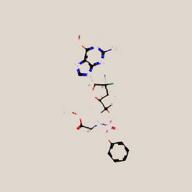 [2H]C([2H])(OP(=O)(N[C@H](C)C(=O)OC(C)C)Oc1ccccc1)[C@@]1(F)O[C@@H](n2cnc3c(OCC)nc(N)nc32)[C@](C)(F)[C@@H]1O